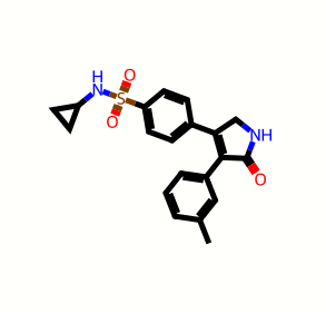 Cc1cccc(C2=C(c3ccc(S(=O)(=O)NC4CC4)cc3)CNC2=O)c1